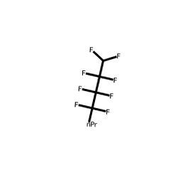 [CH2]CCC(F)(F)C(F)(F)C(F)(F)C(F)F